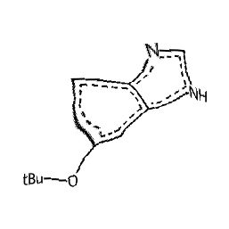 CC(C)(C)Oc1ccc2nc[nH]c2c1